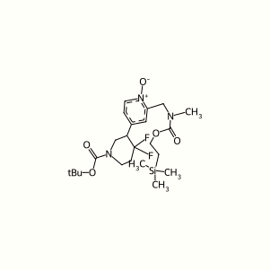 CN(Cc1cc(C2CN(C(=O)OC(C)(C)C)CCC2(F)F)cc[n+]1[O-])C(=O)OCC[Si](C)(C)C